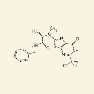 C[C@H](C(=O)NCc1ccccc1)N(C)c1nc2c(=O)[nH]c(C3(Cl)CC3)nc2s1